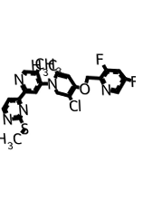 CSc1nccc(-c2cc(N3CC(Cl)=C(OCc4ncc(F)cc4F)C=C3C)c(C)cn2)n1